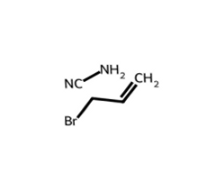 C=CCBr.N#CN